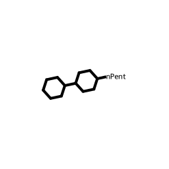 CCCCCC1CCC(C2CCCCC2)CC1